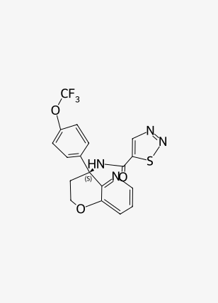 O=C(N[C@]1(c2ccc(OC(F)(F)F)cc2)CCOc2cccnc21)c1cnns1